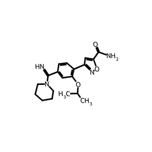 CC(C)Oc1cc(C(=N)N2CCCCC2)ccc1-c1cc(C(N)=O)on1